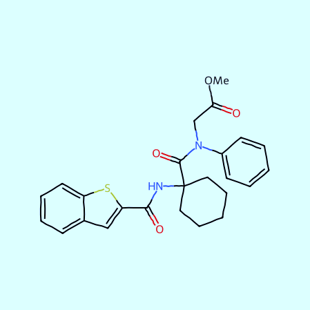 COC(=O)CN(C(=O)C1(NC(=O)c2cc3ccccc3s2)CCCCC1)c1ccccc1